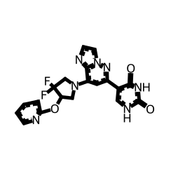 O=c1[nH]cc(-c2cc(N3CC(Oc4ccccn4)C(F)(F)C3)c3nccn3n2)c(=O)[nH]1